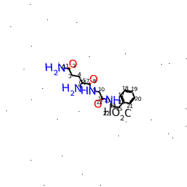 NC(=O)CC[C@H](N)C(=O)NCC(=O)N[C@@H](Cc1ccccc1)C(=O)O